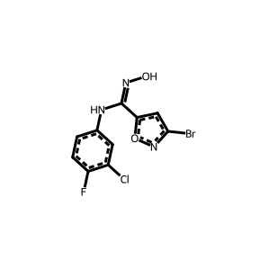 O/N=C(/Nc1ccc(F)c(Cl)c1)c1cc(Br)no1